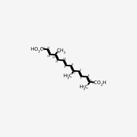 CC(/C=C/C=C(\C)C(=O)O)=C\C=C\C=C(C)\C=C\C(=O)O